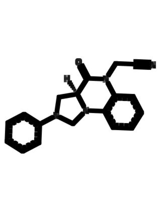 N#CCN1C(=O)[C@@H]2CN(c3ccccc3)CN2c2ccccc21